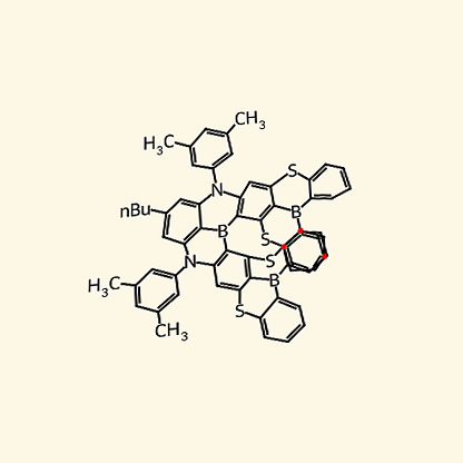 CCCCc1cc2c3c(c1)N(c1cc(C)cc(C)c1)c1cc4c5c(c1B3c1c(cc3c6c1Sc1ccccc1B6c1ccccc1S3)N2c1cc(C)cc(C)c1)Sc1ccccc1B5c1ccccc1S4